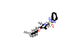 [2H]c1nc(C([2H])([2H])[S+]([O-])c2nc3ccccc3[nH]2)c(C)c(OC([2H])([2H])C([2H])([2H])C([2H])([2H])OC)c1[2H]